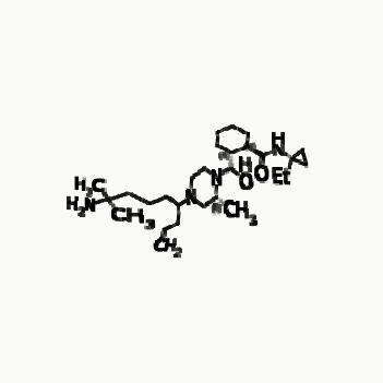 C=CCC(CCCC(C)(C)N)N1CCN(C(O)[C@@H]2CCCC[C@H]2C(=O)NC2(CC)CC2)[C@H](C)C1